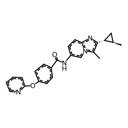 Cc1c([C@@H]2C[C@H]2C)nc2ccc(NC(=O)c3ccc(Oc4ccccn4)cc3)cn12